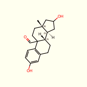 C[C@]12CCC3(C=O)c4ccc(O)cc4CC[C@H]3[C@@H]1CC(O)C2